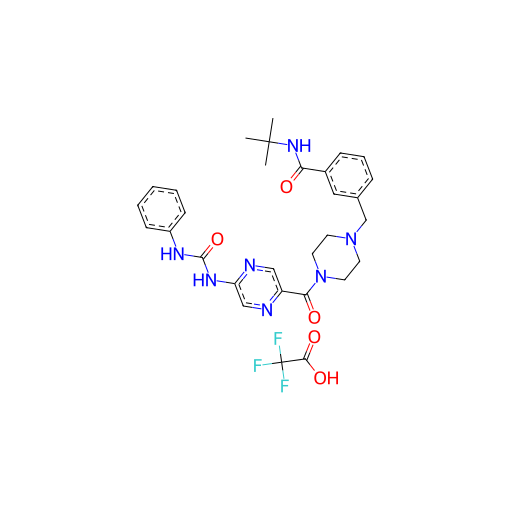 CC(C)(C)NC(=O)c1cccc(CN2CCN(C(=O)c3cnc(NC(=O)Nc4ccccc4)cn3)CC2)c1.O=C(O)C(F)(F)F